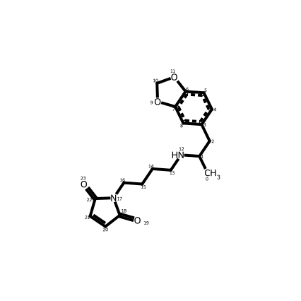 CC(Cc1ccc2c(c1)OCO2)NCCCCN1C(=O)C=CC1=O